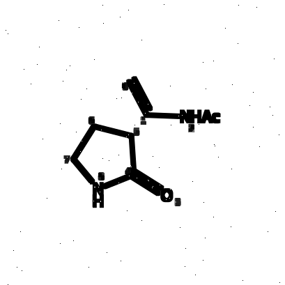 C=CNC(C)=O.O=C1CCCN1